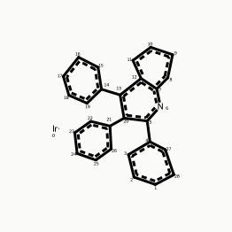 [Ir].c1ccc(-c2nc3ccccc3c(-c3ccccc3)c2-c2ccccc2)cc1